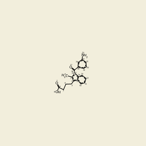 Cc1c(CCCC(=O)O)c2ccccc2n1C(=O)c1cccc(N)c1